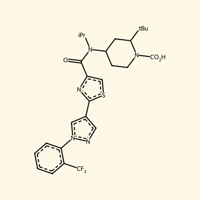 CC(C)N(C(=O)c1csc(-c2cnn(-c3ccccc3C(F)(F)F)c2)n1)C1CCN(C(=O)O)C(C(C)(C)C)C1